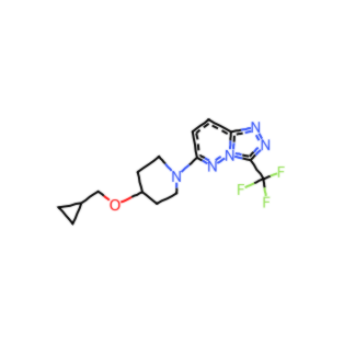 FC(F)(F)c1nnc2ccc(N3CCC(OCC4CC4)CC3)nn12